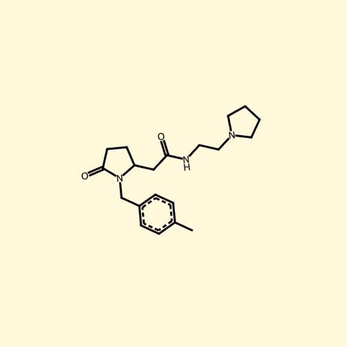 Cc1ccc(CN2C(=O)CCC2CC(=O)NCCN2CCCC2)cc1